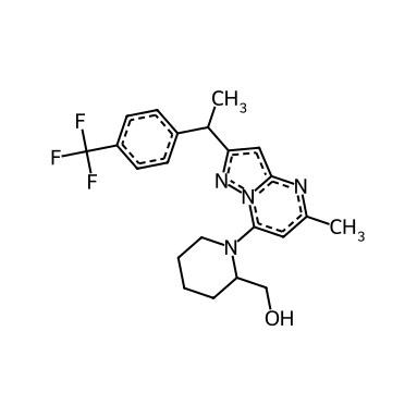 Cc1cc(N2CCCCC2CO)n2nc(C(C)c3ccc(C(F)(F)F)cc3)cc2n1